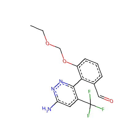 CCOCOc1cccc(C=O)c1-c1nnc(N)cc1C(F)(F)F